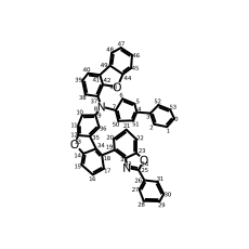 c1ccc(-c2ccc(N(c3ccc4oc5cccc(-c6cccc7oc(-c8ccccc8)nc67)c5c4c3)c3cccc4c3oc3ccccc34)cc2)cc1